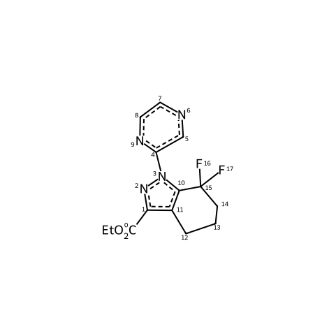 CCOC(=O)c1nn(-c2cnccn2)c2c1CCCC2(F)F